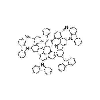 N#Cc1ccc(-c2c(-c3ccccc3)c(-c3ccc(C#N)cc3)c(-n3c4ccc(-n5c6ccccc6c6ccccc65)cc4c4cc(-n5c6ccccc6c6ccccc65)ccc43)c(-c3ccccc3)c2-n2c3ccc(-n4c5ccccc5c5ccccc54)cc3c3cc(-n4c5ccccc5c5ccccc54)ccc32)cc1